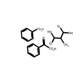 CCC(O)C(C)C(O)CC.O=C(O)C(=O)c1ccccc1.O=C(O)c1ccccc1